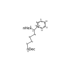 CCCCCCCCCCCCCCC(CCCCCC)[n+]1ccccc1